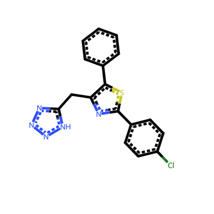 Clc1ccc(-c2nc(Cc3nnn[nH]3)c(-c3ccccc3)s2)cc1